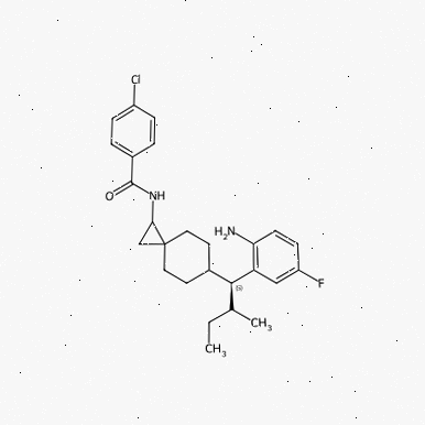 CCC(C)[C@H](c1cc(F)ccc1N)C1CCC2(CC1)CC2NC(=O)c1ccc(Cl)cc1